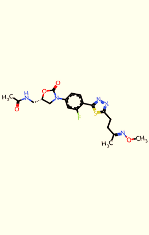 CON=C(C)CCc1nnc(-c2ccc(N3C[C@H](CNC(C)=O)OC3=O)cc2F)s1